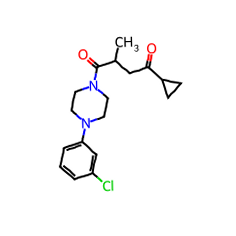 CC(CC(=O)C1CC1)C(=O)N1CCN(c2cccc(Cl)c2)CC1